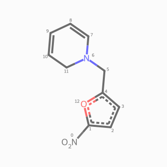 O=[N+]([O-])c1ccc(CN2C=CC=CC2)o1